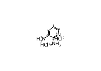 Cl.Cl.Nc1cccnc1N